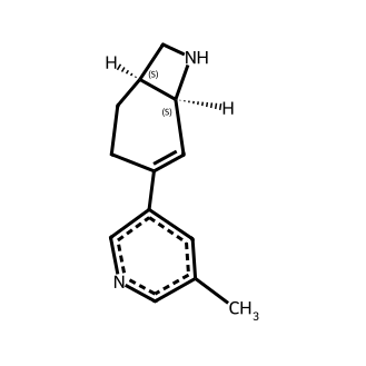 Cc1cncc(C2=C[C@@H]3NC[C@@H]3CC2)c1